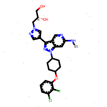 CCNc1cc2c(cn1)c(-c1cnn(C[C@@H](O)CO)c1)nn2C1CCC(Oc2cccc(Cl)c2F)CC1